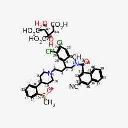 CN(CC(CCN1CCC(c2ccccc2[S+](C)[O-])CC1)c1ccc(Cl)c(Cl)c1)C(=O)c1cc(C#N)cc2ccccc12.O.O=C(O)CC(O)(CC(=O)O)C(=O)O